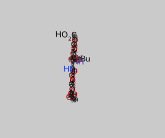 CC(C)(C)OC(=O)N[C@@H](CCCCNC(=O)CCOCCOCCOCCOCCON1C(=O)c2ccccc2C1=O)C(=O)NCCOCCOCCOCCOCCC(=O)O